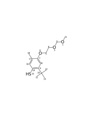 COCOCCOc1cc(C(C)(C)C)c(S)cc1C